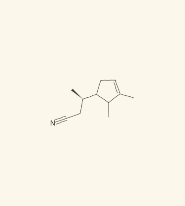 CC1=CCC([C@H](C)CC#N)C1C